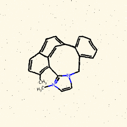 Cc1ccc2ccc3cc2c1-c1n(cc[n+]1C)Cc1ccccc1-3